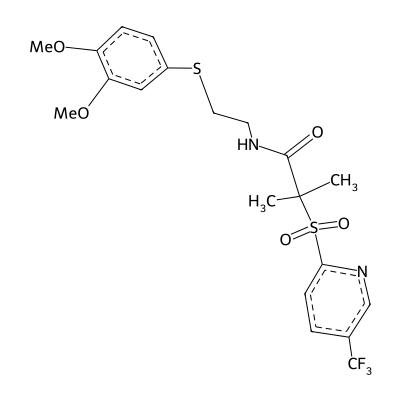 COc1ccc(SCCNC(=O)C(C)(C)S(=O)(=O)c2ccc(C(F)(F)F)cn2)cc1OC